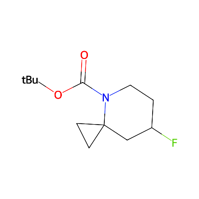 CC(C)(C)OC(=O)N1CCC(F)CC12CC2